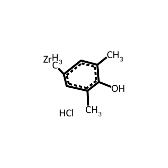 Cc1cc(C)c(O)c(C)c1.Cl.[Zr]